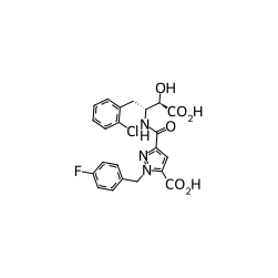 O=C(N[C@H](Cc1ccccc1Cl)[C@@H](O)C(=O)O)c1cc(C(=O)O)n(Cc2ccc(F)cc2)n1